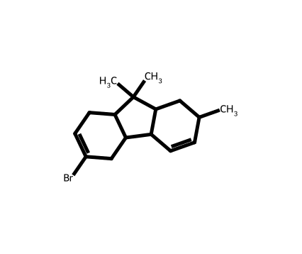 CC1C=CC2C3CC(Br)=CCC3C(C)(C)C2C1